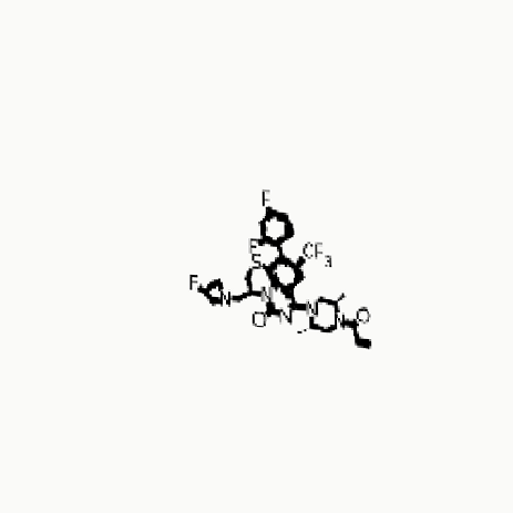 C=CC(=O)N1C[C@H](C)N(c2nc(=O)n3c4c(c(-c5ccc(F)cc5F)c(C(F)(F)F)cc24)SCC3CN2CC(F)C2)C[C@H]1C